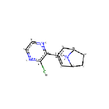 CN1C2C=C(c3nccnc3Cl)CC1CC2